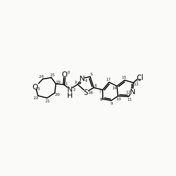 O=C(Nc1ncc(-c2ccc3cnc(Cl)cc3c2)s1)C1CCCOCC1